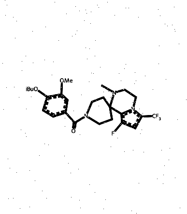 COc1cc(C(=O)N2CCC3(CC2)c2c(F)cc(C(F)(F)F)n2CCN3C)ccc1OCC(C)C